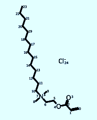 C=CC(=O)OCC[N+](C)(C)CCCCCCCCCCCCCC.[Cl-]